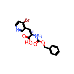 O=C(N/C(=C/c1cnccc1Br)C(=O)O)OCc1ccccc1